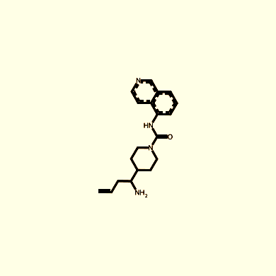 C=CCC(N)C1CCN(C(=O)Nc2cccc3cnccc23)CC1